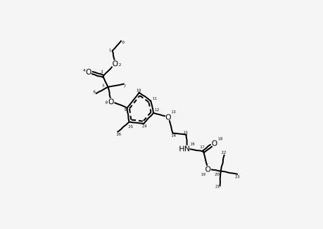 CCOC(=O)C(C)(C)Oc1ccc(OCCNC(=O)OC(C)(C)C)cc1C